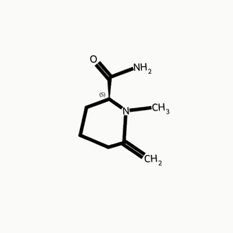 C=C1CCC[C@@H](C(N)=O)N1C